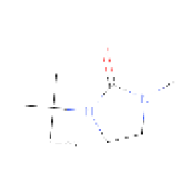 CCCCCCC(C)(C)N1CCN(C)C1=O